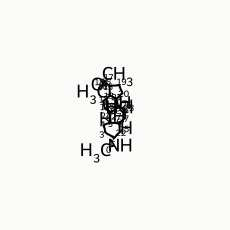 CN[C@@H]1CC[C@H]2[C@H](CC[C@@H]3[C@@H]2CC[C@]2(C)C(C(C)=O)CC[C@@H]32)C1.Cl